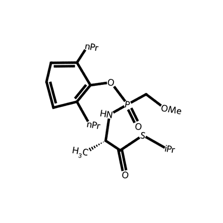 CCCc1cccc(CCC)c1OP(=O)(COC)N[C@@H](C)C(=O)SC(C)C